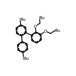 CCC(C)COc1cccc(-c2cc(C(C)(C)C)ccc2-c2ccc(C(C)(C)C)cc2)c1OCC(C)CC